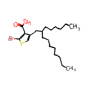 CCCCCCCCC(CCCCCC)Cc1csc(Br)c1C(=O)O